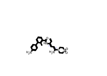 C=C/C(=C\C=C(/N)N1CCS(=O)(=O)CC1)NC(=O)c1cccc(-c2ccc(N)cc2)c1C